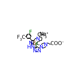 C[C@@H]1CC[C@@H](C)N1Cc1sc(Nc2ncnc(N3CCN(CCC(=O)[O-])CC3)c2F)nc1-c1cc(F)cc(C(F)(F)F)c1.[Na+]